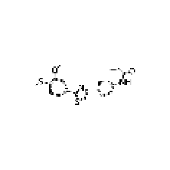 COc1cc(-c2nc(-c3ccc4c(c3)CCC(=O)N4)cs2)ccc1SC